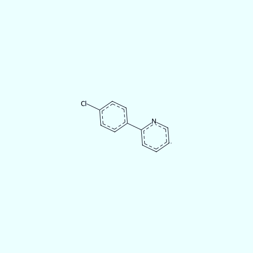 Clc1ccc(-c2cc[c]cn2)cc1